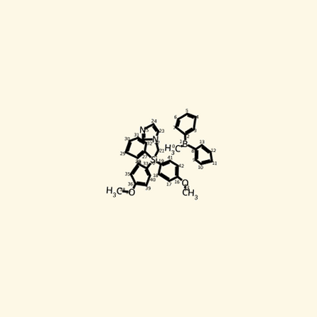 CB(c1ccccc1)c1ccccc1.COc1ccc([Si](Cn2ccnc2)(c2ccccc2)c2ccc(OC)cc2)cc1